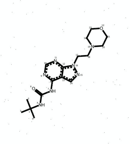 CC(C)(C)NC(=O)Nc1ncnc2c1cnn2CCN1CCOCC1